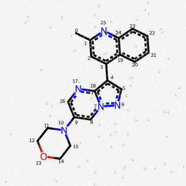 Cc1cc(-c2cnn3cc(N4CCOCC4)cnc23)c2ccccc2n1